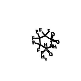 O=S1(=O)N[SH](=O)(P)C(F)(F)C(F)(F)C1(F)F